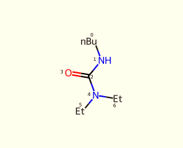 CCCCNC(=O)N(CC)CC